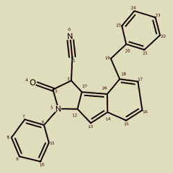 N#CC1C(=O)N(c2ccccc2)C2C=c3cccc(Cc4ccccc4)c3=C12